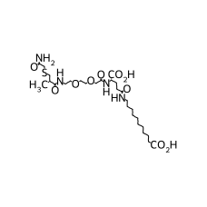 C[C@@H](CSCC(N)=O)C(=O)NCCOCCOCC(=O)N[C@@H](CCC(=O)NCCCCCCCCCCC(=O)O)C(=O)O